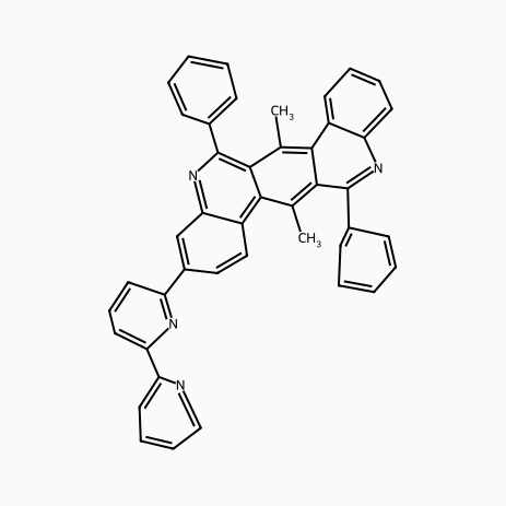 Cc1c2c(-c3ccccc3)nc3cc(-c4cccc(-c5ccccn5)n4)ccc3c2c(C)c2c(-c3ccccc3)nc3ccccc3c12